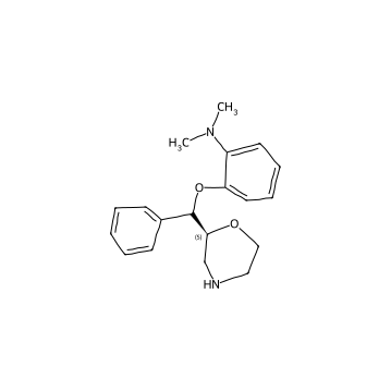 CN(C)c1ccccc1OC(c1ccccc1)[C@@H]1CNCCO1